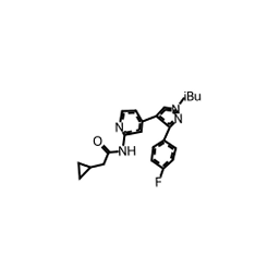 CCC(C)n1cc(-c2ccnc(NC(=O)CC3CC3)c2)c(-c2ccc(F)cc2)n1